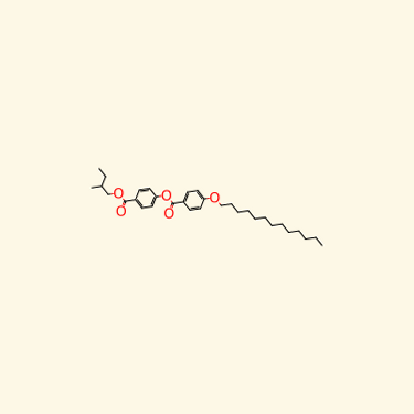 CCCCCCCCCCCCCOc1ccc(C(=O)Oc2ccc(C(=O)OCC(C)CC)cc2)cc1